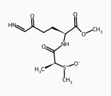 COC(=O)[C@H](CCC(=O)C=N)NC(=O)[C@H](C)[S+](C)[O-]